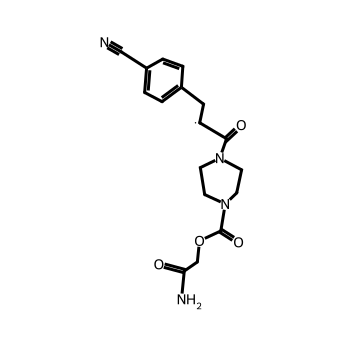 N#Cc1ccc(C[CH]C(=O)N2CCN(C(=O)OCC(N)=O)CC2)cc1